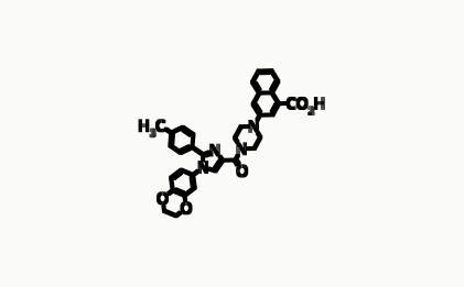 Cc1ccc(-c2nc(C(=O)N3CCN(c4cc(C(=O)O)c5ccccc5c4)CC3)cn2-c2ccc3c(c2)OCCO3)cc1